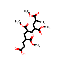 COC(=O)C(C)CC(CC(CC(CCC(=O)O)C(=O)OC)C(=O)OC)C(=O)OC